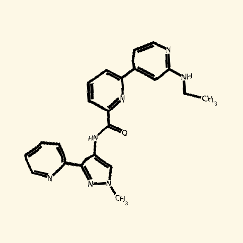 CCNc1cc(-c2cccc(C(=O)Nc3cn(C)nc3-c3ccccn3)n2)ccn1